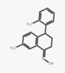 Cc1ccc2c(c1)C(=NO)CCC2c1ccccc1C